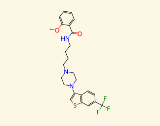 COc1ccccc1C(=O)NCCCCN1CCN(c2csc3cc(C(F)(F)F)ccc23)CC1